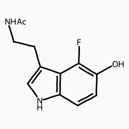 CC(=O)NCCc1c[nH]c2ccc(O)c(F)c12